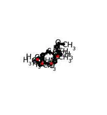 CC#CC(=O)N1CC[C@@H](C(=O)N(C)C(C(=O)N[C@H]2Cc3nc(cs3)-c3ccc4c(c3)c(c(-c3cccnc3[C@H](C)OC)n4CC)CC(C)(C)COC(=O)[C@@H]3CCCN(N3)C2=O)C(C)C)C1